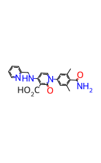 Cc1cc(-n2ccc(NCc3ccccn3)c(C(=O)O)c2=O)cc(C)c1C(N)=O